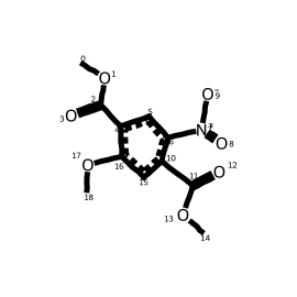 COC(=O)c1cc([N+](=O)[O-])c(C(=O)OC)cc1OC